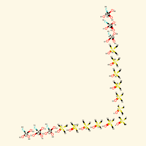 C[S+](C)(C)=O.C[S+](C)(C)=O.C[S+](C)(C)=O.C[S+](C)(C)=O.C[S+](C)(C)=O.C[S+](C)(C)=O.C[S+](C)(C)=O.C[S+](C)(C)=O.C[S+](C)(C)=O.C[S+](C)(C)=O.C[S+](C)(C)=O.C[S+](C)(C)=O.O=[As]([O-])([O-])F.O=[As]([O-])([O-])F.O=[As]([O-])([O-])F.O=[As]([O-])([O-])F.O=[As]([O-])([O-])F.O=[As]([O-])([O-])F